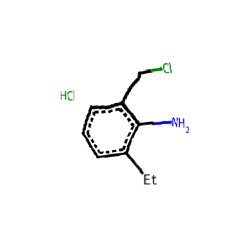 CCc1cccc(CCl)c1N.Cl